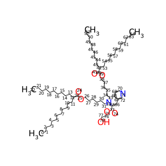 CCCCCCCCCCCCC(CCCCCCCCCC)C(=O)OCCCCCCN(CCCCCCOC(=O)C(CCCCCCCCCC)CCCCCCCCCCCC)C(Cc1cccnc1)C(=O)OCCO